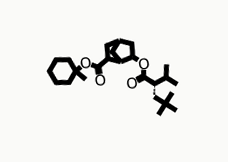 CC(C)[C@H](CC(C)(C)C)C(=O)OC1CC2CC(C(=O)OC3(C)CCCCC3)C1C2